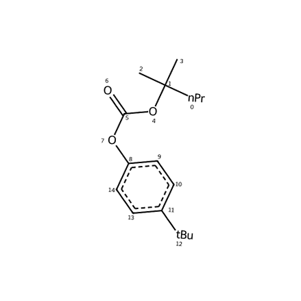 CCCC(C)(C)OC(=O)Oc1ccc(C(C)(C)C)cc1